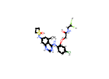 Cc1cc(N=S2(=O)CCC2)cc2ncnc(Nc3ccc(Cl)cc3OCC(=O)NCC(F)F)c12